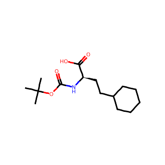 CC(C)(C)OC(=O)N[C@H](CCC1CCCCC1)C(=O)O